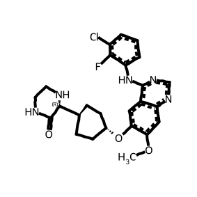 COc1cc2ncnc(Nc3cccc(Cl)c3F)c2cc1O[C@H]1CC[C@H]([C@H]2NCCNC2=O)CC1